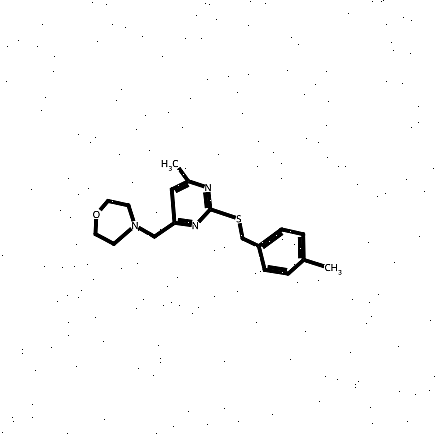 Cc1ccc(CSc2nc(C)cc(CN3CCOCC3)n2)cc1